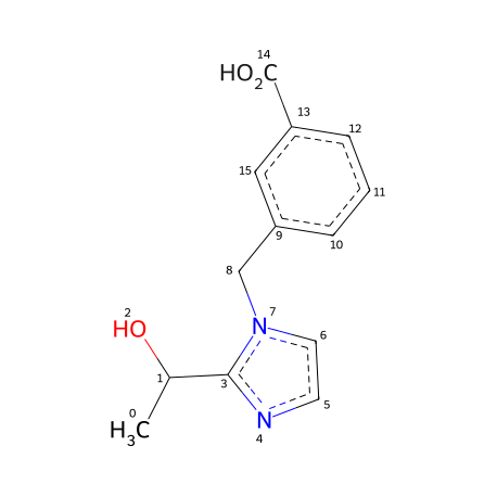 CC(O)c1nccn1Cc1cccc(C(=O)O)c1